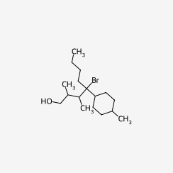 CCCCC(Br)(C1CCC(C)CC1)C(C)C(C)CO